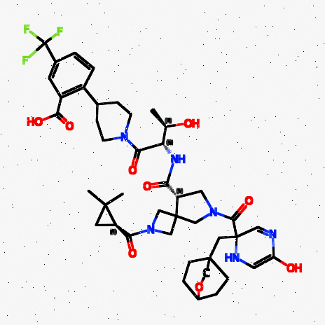 C[C@@H](O)[C@H](NC(=O)[C@@H]1CN(C(=O)C2(CC34CCC(CC3)OC4)C=NC(O)=CN2)CC12CN(C(=O)[C@H]1CC1(C)C)C2)C(=O)N1CCC(c2ccc(C(F)(F)F)cc2C(=O)O)CC1